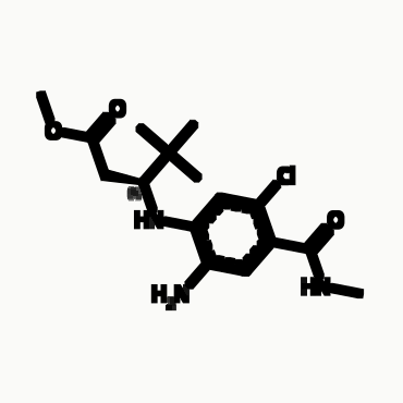 CNC(=O)c1cc(N)c(N[C@@H](CC(=O)OC)C(C)(C)C)cc1Cl